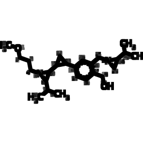 COCCCN1C(C(C)C)C1C1CC1c1ccc(CO)c(CN2CC2C(C)C)c1